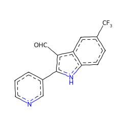 O=Cc1c(-c2cccnc2)[nH]c2ccc(C(F)(F)F)cc12